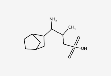 CC(CS(=O)(=O)O)C(N)C1CC2CCC1C2